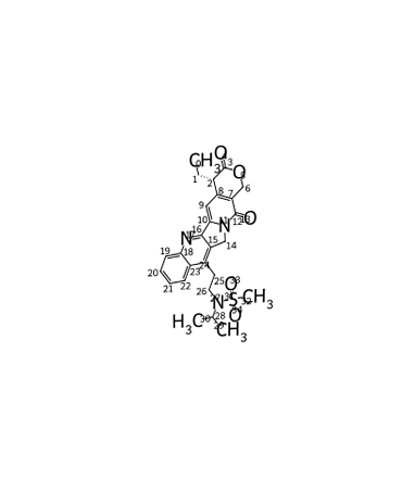 CC[C@@H]1C(=O)OCc2c1cc1n(c2=O)Cc2c-1nc1ccccc1c2CCN(C(C)C)S(C)(=O)=O